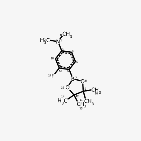 CN(C)c1ccc(B2OC(C)(C)C(C)(C)O2)c(F)c1